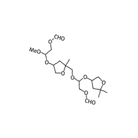 COC(COC=O)OC1COC(C)(COC(COC=O)OC2COC(C)(C)C2)C1